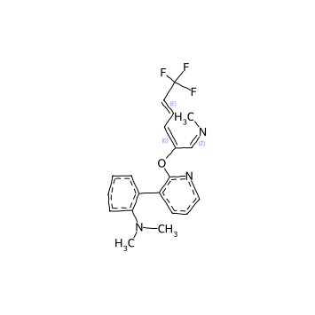 C\N=C/C(=C\C=C\C(F)(F)F)Oc1ncccc1-c1ccccc1N(C)C